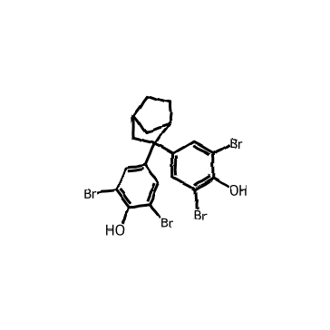 Oc1c(Br)cc(C2(c3cc(Br)c(O)c(Br)c3)CC3CCC2C3)cc1Br